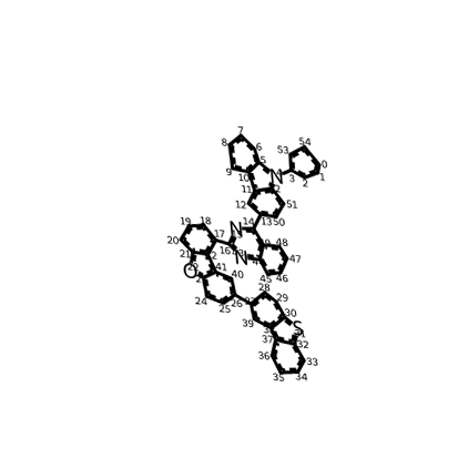 c1ccc(-n2c3ccccc3c3cc(-c4nc(-c5cccc6oc7ccc(-c8ccc9sc%10ccccc%10c9c8)cc7c56)nc5ccccc45)ccc32)cc1